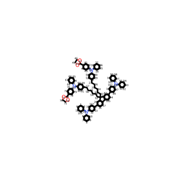 c1ccc(N(c2ccccc2)c2ccc(-c3ccc4c(c3)C(CCCCCCc3ccc(N(c5ccccc5)c5ccc(C6OCCO6)cc5)cc3)(CCCCCCc3ccc(N(c5ccccc5)c5ccc(C6OCCO6)cc5)cc3)c3cc(-c5ccc(N(c6ccccc6)c6ccccc6)cc5)ccc3-4)cc2)cc1